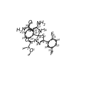 CO[C@@H](C)C(=O)N1N=C(c2cc(F)ccc2F)SC1(c1ccccc1)N(C)C(N)=NC(N)=O